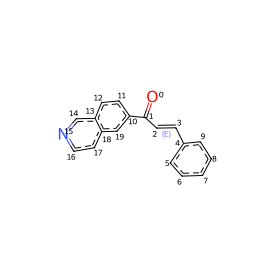 O=C(/C=C/c1ccccc1)c1ccc2cnccc2c1